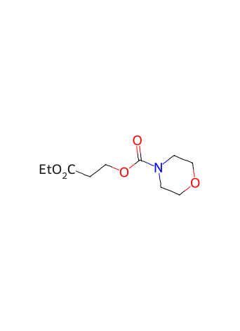 CCOC(=O)CCOC(=O)N1CCOCC1